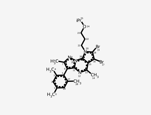 Cc1cc(C)c(-c2c(C)nn3c2nc(C)c2c(Br)c(Br)n(CCCOC(C)C)c23)c(C)c1